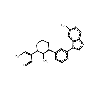 CC1C(/C(C=N)=C/N)OCCN1c1ccnc(-c2cnc3cnc(C(F)(F)F)cn23)n1